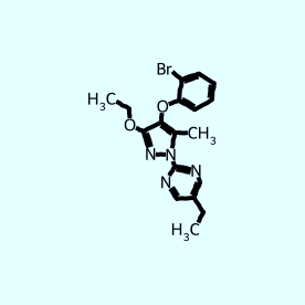 CCOc1nn(-c2ncc(CC)cn2)c(C)c1Oc1ccccc1Br